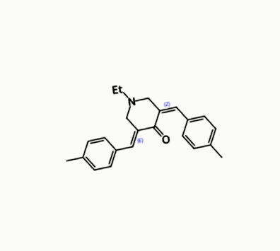 CCN1C/C(=C/c2ccc(C)cc2)C(=O)/C(=C/c2ccc(C)cc2)C1